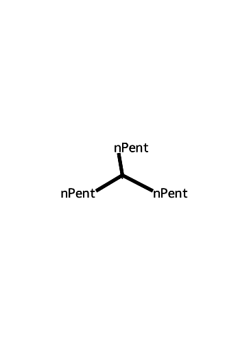 CCCCC[C](CCCCC)CCCCC